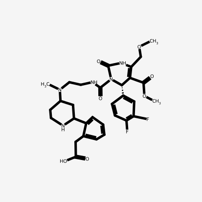 COCC1=C(C(=O)OC)[C@H](c2ccc(F)c(F)c2)N(C(=O)NCCN(C)C2CCNC(c3ccccc3CC(=O)O)C2)C(=O)N1